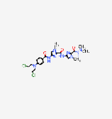 CN(C)NC(=O)c1nc(NC(=O)c2nc(NC(=O)c3ccc(N(CCCl)CCCl)cc3)cn2C)cn1C